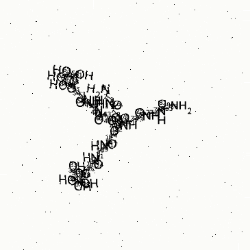 NCCCNC(=O)CCOCC(COCCC(=O)NCCCNC(=O)CCCO[C@@H]1OC(CO)[C@@H](O)C(O)C1O)(COCCC(=O)NCCCNC(=O)CCCO[C@@H]1OC(CO)[C@@H](O)C(O)C1O)NC(=O)CCCC(=O)NCCCNC(=O)CCN